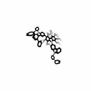 Bc1c(B)c(B)c2c(c1B)c1c(B)c(-c3ccc4c(c3)c3c(-c5ccccc5)cccc3n4-c3ccccc3-c3ccccc3)c(B)c(B)c1n2-c1ccc2c(c1)c1ccccc1n2-c1cccc(-c2ccccc2)c1